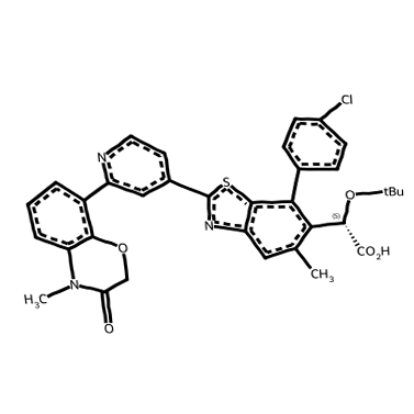 Cc1cc2nc(-c3ccnc(-c4cccc5c4OCC(=O)N5C)c3)sc2c(-c2ccc(Cl)cc2)c1[C@H](OC(C)(C)C)C(=O)O